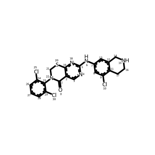 O=C1c2cnc(Nc3cc(Cl)c4c(c3)CNCC4)nc2SCN1c1c(Cl)cccc1Cl